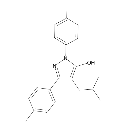 Cc1ccc(-c2nn(-c3ccc(C)cc3)c(O)c2CC(C)C)cc1